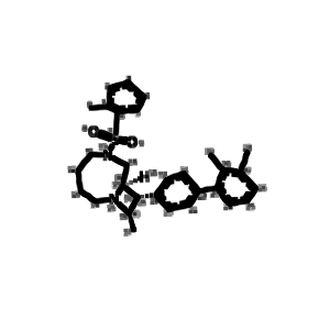 Cc1ccccc1S(=O)(=O)N1CCCCN2[C@H](C)[C@@H](c3ccc(-c4cccc(C)c4C)cc3)[C@@H]2C1